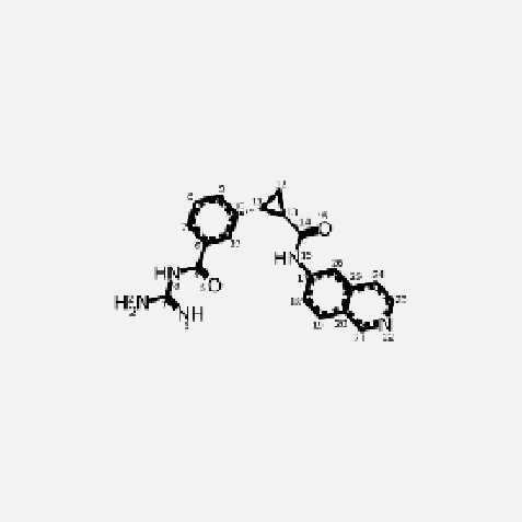 N=C(N)NC(=O)c1cccc([C@@H]2C[C@H]2C(=O)Nc2ccc3cnccc3c2)c1